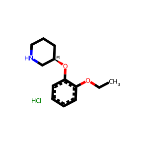 CCOc1ccccc1O[C@@H]1CCCNC1.Cl